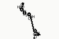 CCOC(=O)c1cc(C)nn1C1CCN(CCCCCCCCC(=O)Nc2cccc(Sc3cnc(N4CCC(C)(NC(=O)OC(C)(C)C)CC4)cn3)c2)CC1